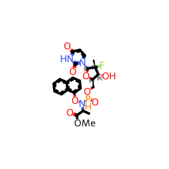 COC(=O)C(C)N(Oc1cccc2ccccc12)[PH](=O)OC[C@H]1O[C@@H](n2ccc(=O)[nH]c2=O)[C@](C)(F)[C@@H]1O